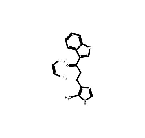 Cc1[nH]cnc1CCC(=O)c1coc2ccccc12.O=C(O)/C=C\C(=O)O